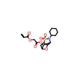 C=CC(=O)OCC(=O)OC1C2CC3C(O2)C1N(C1CCCCC1)S3(=O)=O